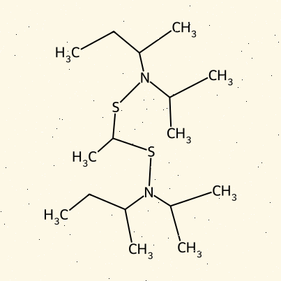 CCC(C)N(SC(C)SN(C(C)C)C(C)CC)C(C)C